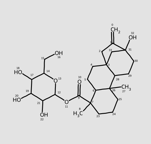 C=C1CC23CCC4C(C)(C(=O)OC5OC(CO)C(O)C(O)C5O)CCCC4(C)C2CCC1(O)C3